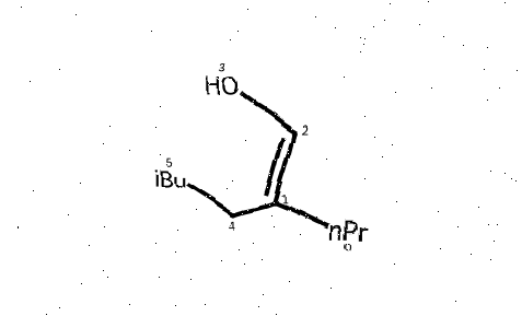 CCCC(=CO)CC(C)CC